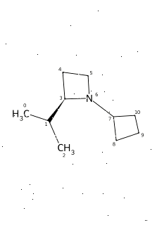 CC(C)[C@H]1CCN1C1CCC1